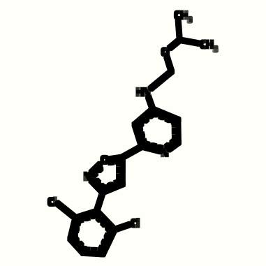 CC(C)OCNc1ccnc(-c2cc(-c3c(Cl)cccc3Cl)no2)c1